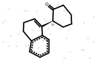 O=C1CCCC[C@H]1C1=CCCc2ccccc21